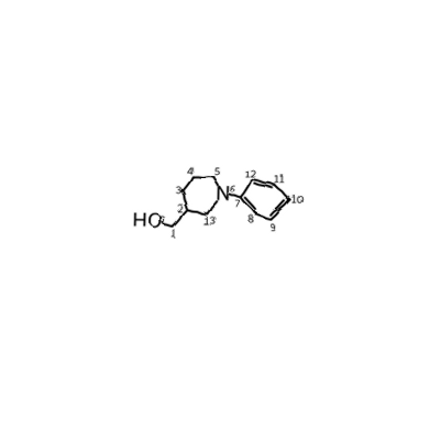 OCC1CCCN(c2ccccc2)C1